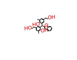 Cc1cc(CCO)cc(C(c2cc3ccccc3o2)c2cc(CCO)cc(C)c2O)c1O